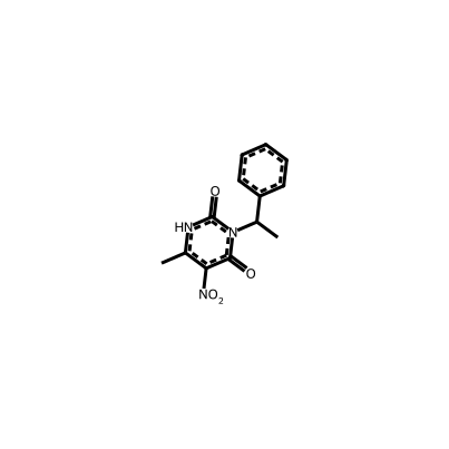 Cc1[nH]c(=O)n(C(C)c2ccccc2)c(=O)c1[N+](=O)[O-]